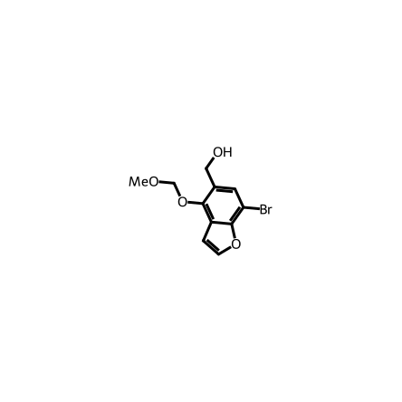 COCOc1c(CO)cc(Br)c2occc12